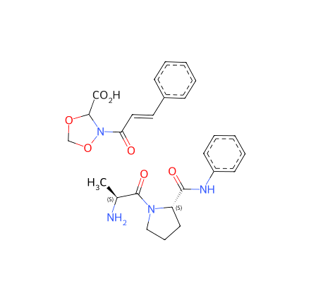 C[C@H](N)C(=O)N1CCC[C@H]1C(=O)Nc1ccccc1.O=C(O)C1OCON1C(=O)C=Cc1ccccc1